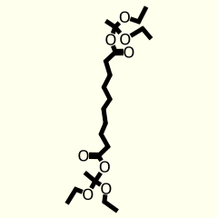 CCOC(C)(OCC)OC(=O)CCCCCCCCC(=O)OC(C)(OCC)OCC